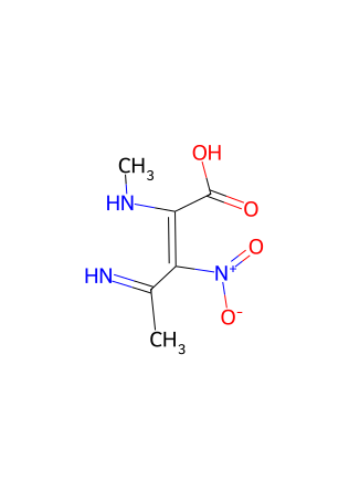 CN/C(C(=O)O)=C(\C(C)=N)[N+](=O)[O-]